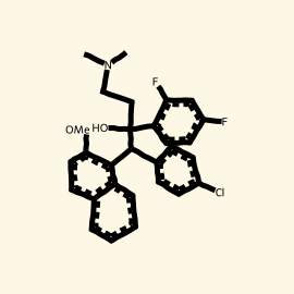 COc1ccc2ccccc2c1C(c1ccc(Cl)cc1)C(O)(CCN(C)C)c1ccc(F)cc1F